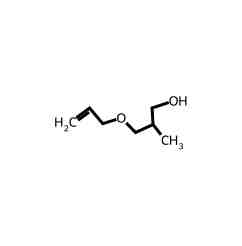 C=CCOCC(C)CO